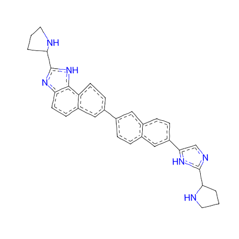 c1cc2cc(-c3cnc(C4CCCN4)[nH]3)ccc2cc1-c1ccc2c(ccc3nc(C4CCCN4)[nH]c32)c1